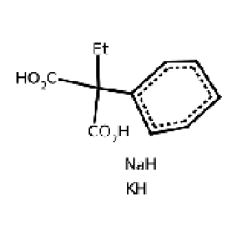 CCC(C(=O)O)(C(=O)O)c1ccccc1.[KH].[NaH]